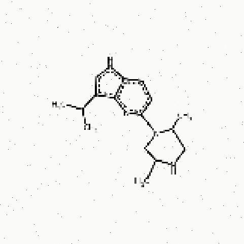 CC1CN(c2ccc3[nH]cc(C(C)C)c3n2)C(C)CN1